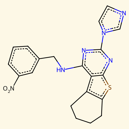 O=[N+]([O-])c1cccc(CNc2nc(-n3ccnc3)nc3sc4c(c23)CCCC4)c1